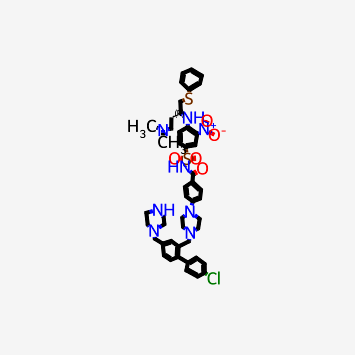 CN(C)CC[C@H](CSc1ccccc1)Nc1ccc(S(=O)(=O)NC(=O)c2ccc(N3CCN(Cc4cc(CN5CCNCC5)ccc4-c4ccc(Cl)cc4)CC3)cc2)cc1[N+](=O)[O-]